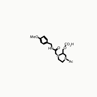 COc1ccc(CNC(=O)CN2CCN(C(C)=O)CC2COC(=O)O)cc1